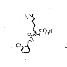 NCCCC[C@@H](NC(=O)OCc1ccccc1Cl)C(=O)O